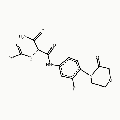 CC(C)C(=O)N[C@H](C(N)=O)C(=O)Nc1ccc(N2CCOCC2=O)c(F)c1